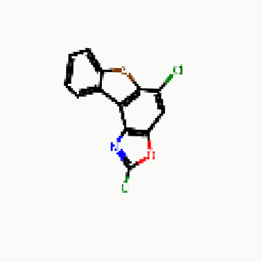 Clc1nc2c(cc(Cl)c3sc4ccccc4c32)o1